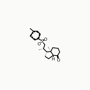 Cc1ccc(S(=O)(=O)C[C@@H](C)[C@H]2CC[C@H]3C(=O)CCC[C@]23C)cc1